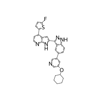 Fc1ccc(-c2ccnc3[nH]c(-c4n[nH]c5ccc(-c6cncc(OC7CCCCC7)c6)cc45)cc23)s1